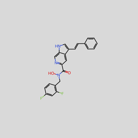 O=C(c1cc2c(C=Cc3ccccc3)c[nH]c2cn1)N(O)Cc1ccc(F)cc1F